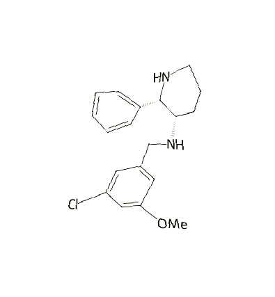 COc1cc(Cl)cc(CN[C@H]2CCCN[C@H]2c2ccccc2)c1